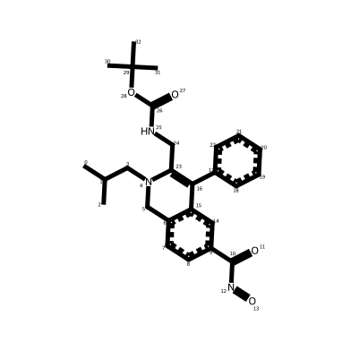 CC(C)CN1Cc2ccc(C(=O)N=O)cc2C(c2ccccc2)=C1CNC(=O)OC(C)(C)C